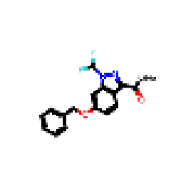 COC(=O)c1nn(C(F)F)c2cc(OCc3ccccc3)ccc12